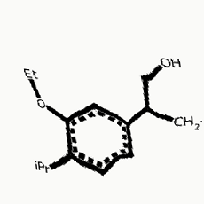 [CH2]C(CO)c1ccc(C(C)C)c(OCC)c1